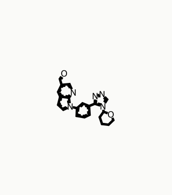 O=Cc1cnc2c(ccn2-c2cccc(-c3nncn3C3CCCCO3)c2)c1